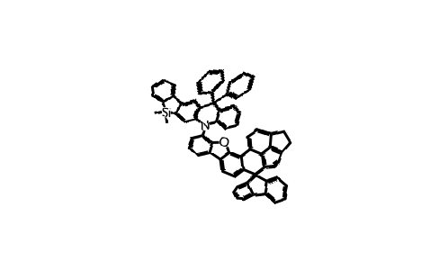 C[Si]1(C)c2ccccc2-c2cc3c(cc21)N(c1cccc2c1oc1c4c(ccc12)C1(c2ccccc2-c2ccccc21)c1ccc2c5c(ccc-4c15)CC2)c1ccccc1C3(c1ccccc1)c1ccccc1